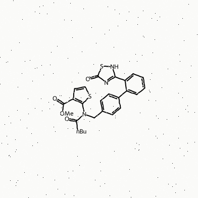 CCCCC(=O)N(Cc1ccc(-c2ccccc2-c2nc(=O)s[nH]2)cc1)c1sccc1C(=O)OC